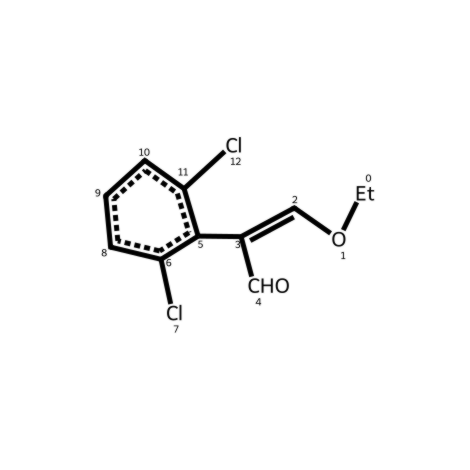 CCOC=C(C=O)c1c(Cl)cccc1Cl